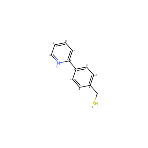 SCc1ccc(-c2ccccn2)cc1